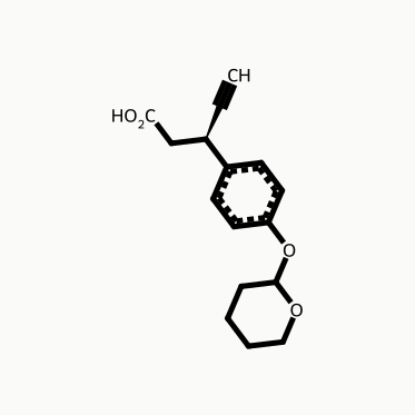 C#C[C@H](CC(=O)O)c1ccc(OC2CCCCO2)cc1